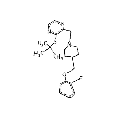 CC(C)(C)Sc1nccnc1CN1CCC(COc2ccccc2F)CC1